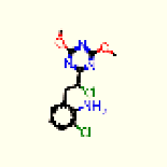 COc1nc(OC)nc(C(Cl)Cc2cccc(Cl)c2N)n1